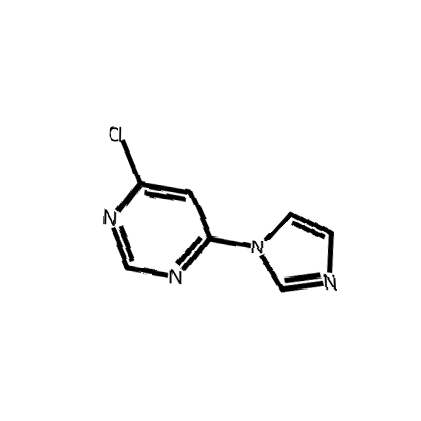 Clc1cc(-n2ccnc2)ncn1